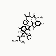 CC[C@H](NC(=O)[C@H](C)NC)C(=O)N1C2CCC(C2)[C@H]1Cc1c(-c2[nH]c3cc(F)ccc3c2C[C@@H]2C3CCC(C3)N2C(=O)[C@H](CC)NC(=O)[C@H](C)NC)[nH]c2cc(F)ccc12